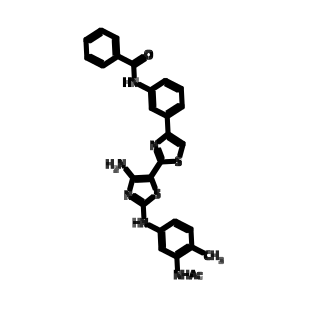 CC(=O)Nc1cc(Nc2nc(N)c(-c3nc(-c4cccc(NC(=O)c5ccccc5)c4)cs3)s2)ccc1C